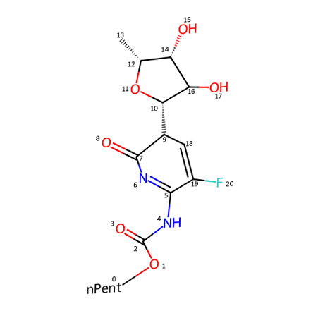 CCCCCOC(=O)NC1=NC(=O)C([C@@H]2O[C@H](C)[C@H](O)C2O)C=C1F